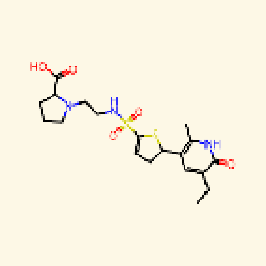 CCc1cc(C2CC=C(S(=O)(=O)NCCN3CCCC3C(=O)O)S2)c(C)[nH]c1=O